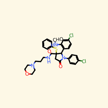 O=CNc1cc(Cl)ccc1C1N(c2ccc(Cl)cc2)C(=O)CC1(Sc1ccccc1)C(=O)NCCCN1CCOCC1